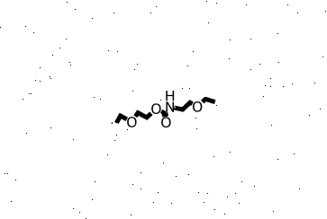 [CH2]COCCOC(=O)NCCOCC